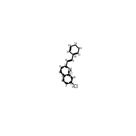 Clc1ccc2ccc(C=CC3=C[CH]CC=C3)nc2c1